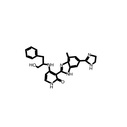 Cc1cc(C2=NCCN2)cc2[nH]c(-c3c(NC(CO)Cc4ccccc4)cc[nH]c3=O)nc12